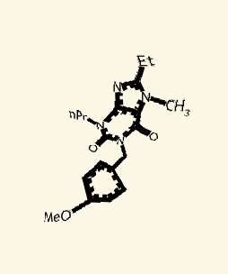 CCCn1c(=O)n(Cc2ccc(OC)cc2)c(=O)c2c1nc(CC)n2C